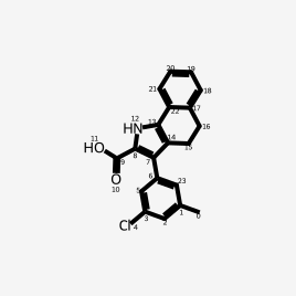 Cc1cc(Cl)cc(-c2c(C(=O)O)[nH]c3c2CCc2ccccc2-3)c1